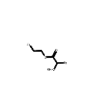 CCCCCCC(CC)C(=O)OCCC(C)C